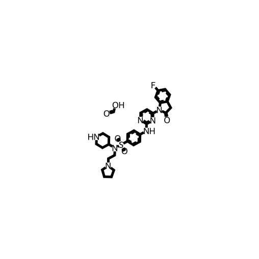 O=C1Cc2ccc(F)cc2N1c1ccnc(Nc2ccc(S(=O)(=O)N(CCN3CCCC3)C3CCNCC3)cc2)n1.O=CO